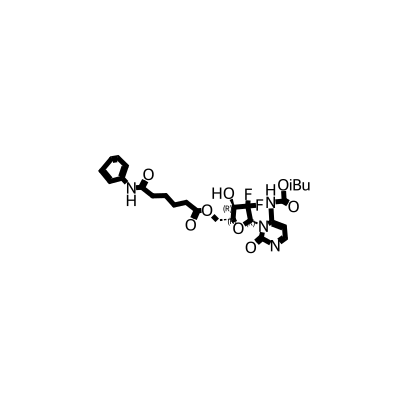 CC(C)COC(=O)Nc1ccnc(=O)n1[C@@H]1O[C@H](COC(=O)CCCCC(=O)Nc2ccccc2)[C@@H](O)C1(F)F